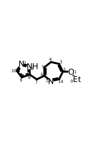 CCOC1=CCC=C(Cc2ccn[nH]2)N=C1